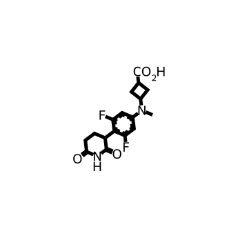 CN(c1cc(F)c(C2CCC(=O)NC2=O)c(F)c1)C1CC(C(=O)O)C1